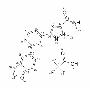 O=C(O)C(F)(F)F.O=C1NCCn2nc(-c3ccnc(-c4ccc5occc5c4)c3)cc21